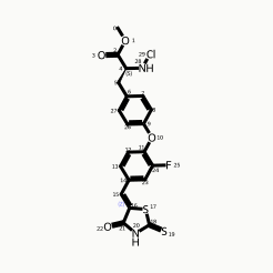 COC(=O)[C@H](Cc1ccc(Oc2ccc(/C=C3\SC(=S)NC3=O)cc2F)cc1)NCl